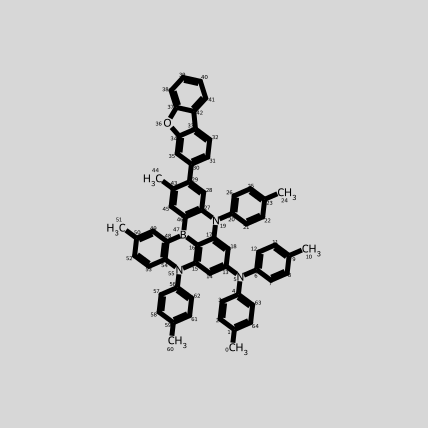 Cc1ccc(N(c2ccc(C)cc2)c2cc3c4c(c2)N(c2ccc(C)cc2)c2cc(-c5ccc6c(c5)oc5ccccc56)c(C)cc2B4c2cc(C)ccc2N3c2ccc(C)cc2)cc1